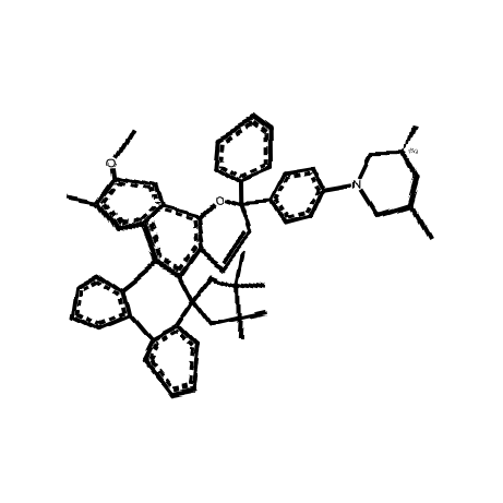 COc1cc2c3c(c4c(c2cc1C)-c1ccccc1-c1ccccc1C41CC(C)(C)C(C)(C)C1)C=CC(c1ccccc1)(c1ccc(N2CC(C)C[C@H](C)C2)cc1)O3